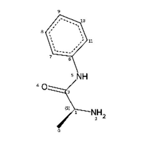 C[C@H](N)C(=O)Nc1ccccc1